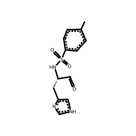 Cc1ccc(S(=O)(=O)N[C@H]([C]=O)Cc2c[nH]cn2)cc1